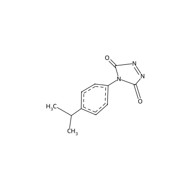 CC(C)c1ccc(N2C(=O)N=NC2=O)cc1